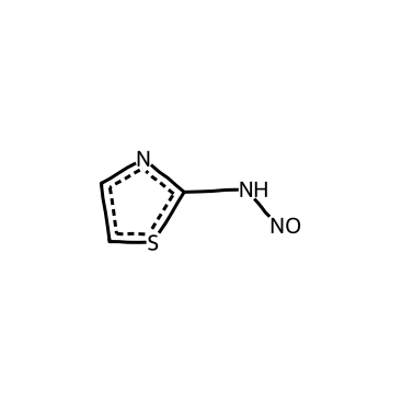 O=NNc1nccs1